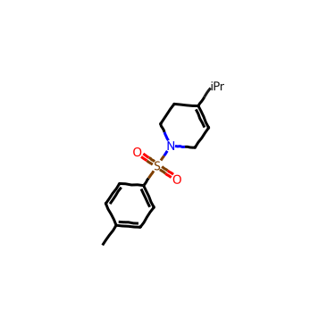 Cc1ccc(S(=O)(=O)N2CC=C(C(C)C)CC2)cc1